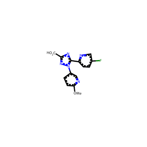 COc1ccc(-n2nc(C(=O)O)nc2-c2ccc(F)cn2)cn1